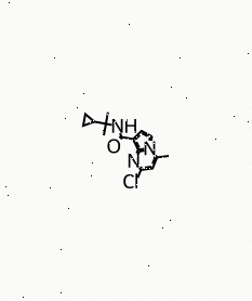 Cc1cc(Cl)nc2c(C(=O)NC(C)(C)C3CC3)ccn12